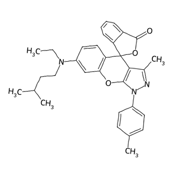 CCN(CCC(C)C)c1ccc2c(c1)Oc1c(c(C)nn1-c1ccc(C)cc1)C21OC(=O)c2ccccc21